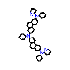 c1ccc(N(c2ccc3c(ccc4cc(N(c5ccccc5)c5ccccn5)ccc43)c2)c2ccc3c(ccc4cc(N(c5ccccc5)c5ccccn5)ccc43)c2)cc1